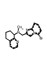 CN(Cc1cn2c(Br)cccc2n1)C1CCCc2cccnc21